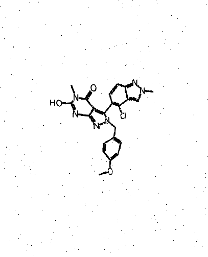 COc1ccc(Cn2nc3nc(O)n(C)c(=O)c3c2-c2ccc3nn(C)cc3c2Cl)cc1